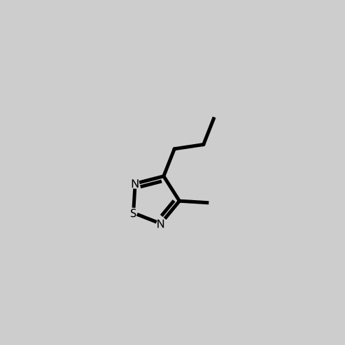 CCCc1nsnc1C